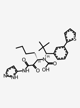 CCCC[C@@H](C(=O)C(=O)Nc1ccn[nH]1)N(C(=O)O)[C@@H](c1cccc(-c2cccs2)c1)C(C)(C)C